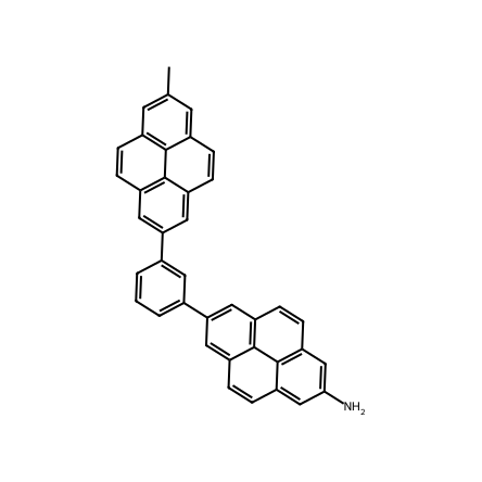 Cc1cc2ccc3cc(-c4cccc(-c5cc6ccc7cc(N)cc8ccc(c5)c6c78)c4)cc4ccc(c1)c2c34